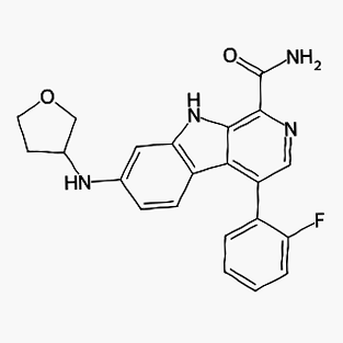 NC(=O)c1ncc(-c2ccccc2F)c2c1[nH]c1cc(NC3CCOC3)ccc12